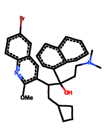 COc1nc2ccc(Br)cc2cc1C(CC1CCC1)C(O)(CCN(C)C)c1cccc2ccccc12